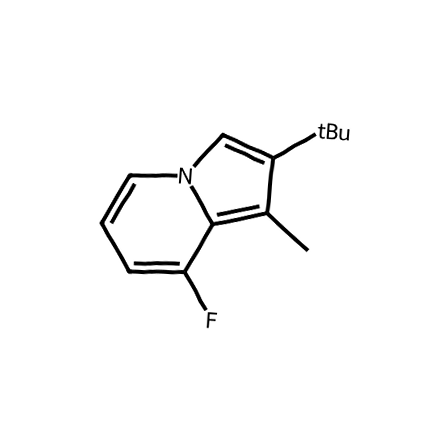 Cc1c(C(C)(C)C)cn2cccc(F)c12